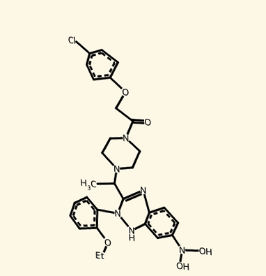 CCOc1ccccc1N1Nc2cc(N(O)O)ccc2N=C1C(C)N1CCN(C(=O)COc2ccc(Cl)cc2)CC1